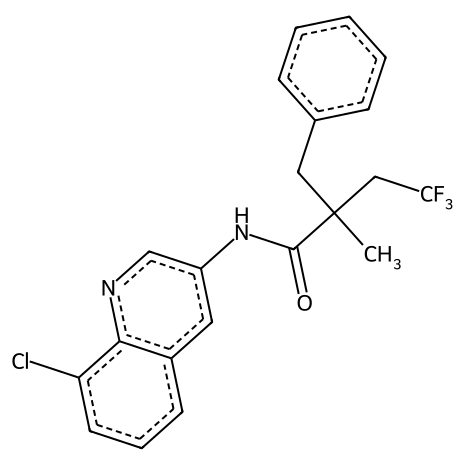 CC(Cc1ccccc1)(CC(F)(F)F)C(=O)Nc1cnc2c(Cl)cccc2c1